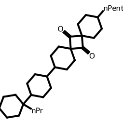 CCCCCC1CCC2(CC1)C(=O)C1(CCC(C3CCC(C4(CCC)CCCCC4)CC3)CC1)C2=O